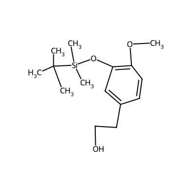 COc1ccc(CCO)cc1O[Si](C)(C)C(C)(C)C